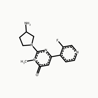 Cn1c(N2CCC(N)C2)nc(-c2ccncc2F)cc1=O